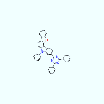 c1ccc(-c2nc(-c3ccccc3)nc(-c3ccc4c5c6oc7ccccc7c6ccc5n(-c5ccccc5)c4c3)n2)cc1